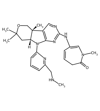 CNCc1cccc(N2c3nc(NC4=CN(C)C(=O)CC=C4)ncc3[C@@]3(C)COC(C)(C)C[C@@H]23)n1